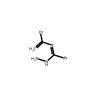 C=C(CC)/N=C(\NN)C(C)C